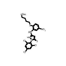 CCCCCCCCCCCCCCSc1ccc([N+](=O)[O-])cc1Nc1cc(=O)n(-c2c(Cl)cc(Cl)cc2Cl)[nH]1